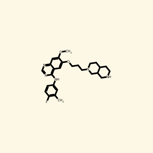 COc1cc2ncnc(Nc3ccc(F)c(C)c3)c2cc1OCCCN1CCC2CCNCC2C1